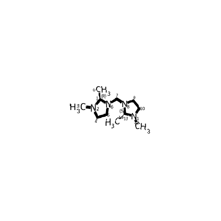 C[C@@H]1N(C)CCN1CN1CCN(C)[C@@H]1C